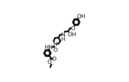 CCOC(=O)c1cccc(NC(=O)N2CCC(CNC[C@H](O)COc3ccc(O)cc3)CC2)c1